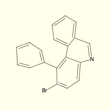 Brc1ccc2ncc3ccccc3c2c1-c1ccccc1